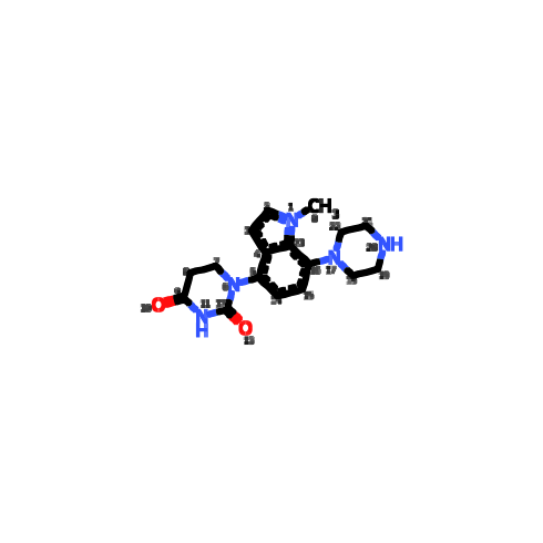 Cn1ccc2c(N3CCC(=O)NC3=O)ccc(N3CCNCC3)c21